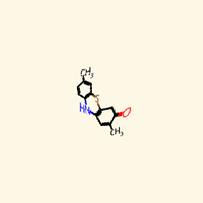 CC1=CC2=C(CC1=O)Sc1cc(C)ccc1N2